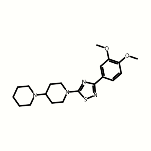 COc1ccc(-c2nsc(N3CCC(N4CCCCC4)CC3)n2)cc1OC